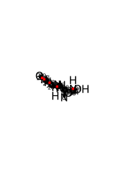 N#Cc1cc(-c2ncnc(Nc3ccc(N4CCN(C5COC5)CC4)cc3)n2)ccc1O[C@H]1CCC(O)NC1